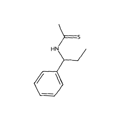 CCC(NC(C)=S)c1ccccc1